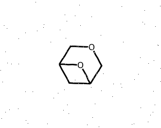 C1OCC2CC1O2